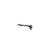 CCCCCCCCCCCCCCCCc1sc(C)c2ccccc12